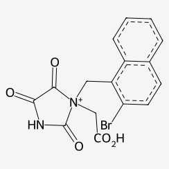 O=C(O)C[N+]1(Cc2c(Br)ccc3ccccc23)C(=O)NC(=O)C1=O